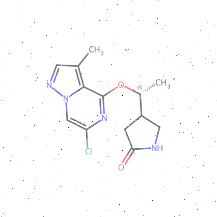 Cc1cnn2cc(Cl)nc(O[C@H](C)C3CNC(=O)C3)c12